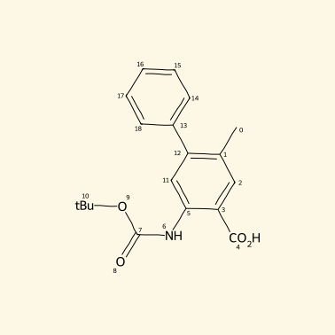 Cc1cc(C(=O)O)c(NC(=O)OC(C)(C)C)cc1-c1ccccc1